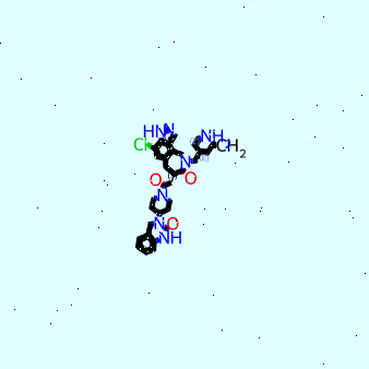 C=C/C=C(\C=C/N)CN1Cc2c(cc(Cl)c3[nH]ncc23)C[C@@H](CC(=O)N2CCC(N3Cc4ccccc4NC3=O)CC2)C1=O